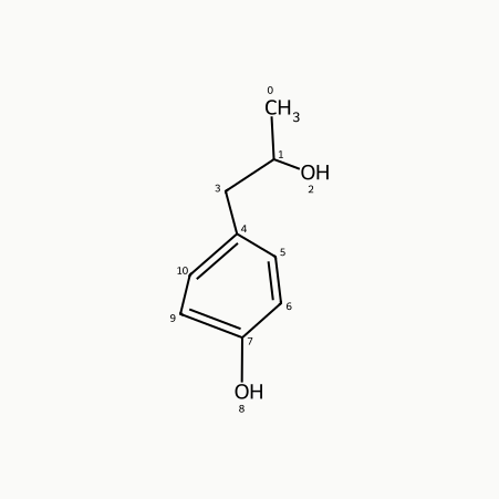 CC(O)Cc1ccc(O)cc1